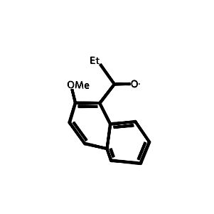 CCC([O])c1c(OC)ccc2ccccc12